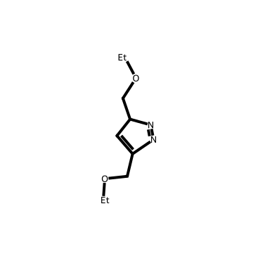 CCOC[C]1C=C(COCC)N=N1